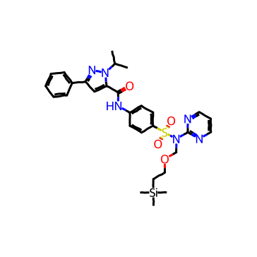 CC(C)n1nc(-c2ccccc2)cc1C(=O)Nc1ccc(S(=O)(=O)N(COCC[Si](C)(C)C)c2ncccn2)cc1